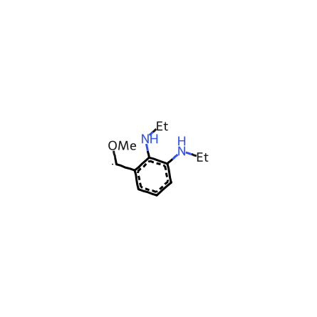 CCNc1cccc([CH]OC)c1NCC